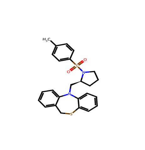 Cc1ccc(S(=O)(=O)N2CCC[C@H]2CN2c3ccccc3CSc3ccccc32)cc1